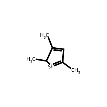 C[C]1[Sb]=[C](C)C=C1C